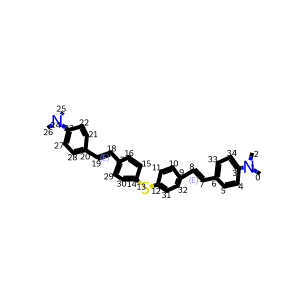 CN(C)c1ccc(/C=C/c2ccc(Sc3ccc(/C=C/c4ccc(N(C)C)cc4)cc3)cc2)cc1